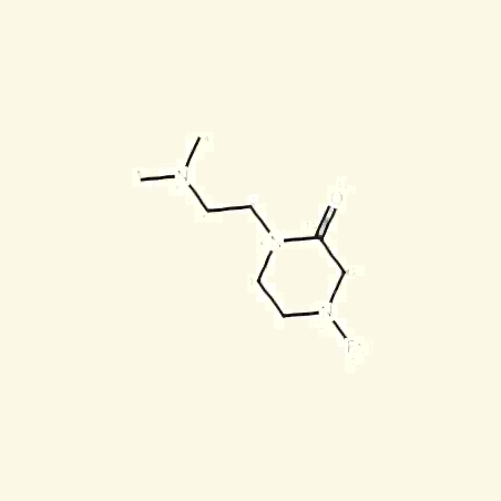 CCN1CCN(CCN(C)C)C(=O)C1